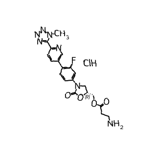 Cl.Cn1nnnc1-c1ccc(-c2ccc(N3C[C@H](COC(=O)CCN)OC3=O)cc2F)cn1